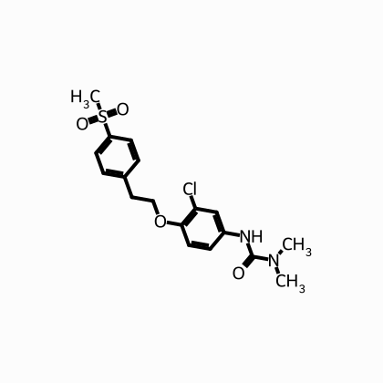 CN(C)C(=O)Nc1ccc(OCCc2ccc(S(C)(=O)=O)cc2)c(Cl)c1